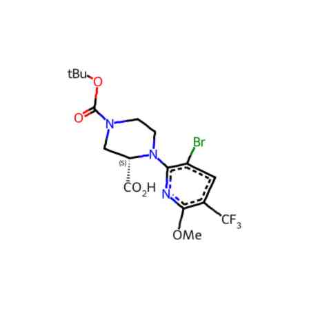 COc1nc(N2CCN(C(=O)OC(C)(C)C)C[C@H]2C(=O)O)c(Br)cc1C(F)(F)F